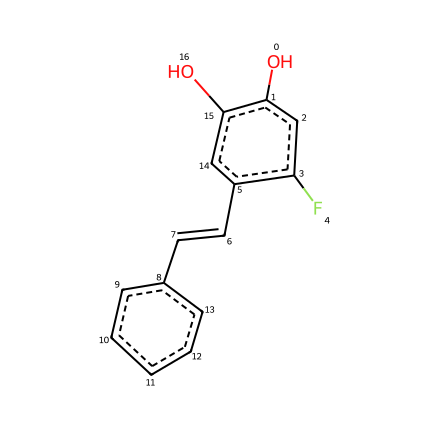 Oc1cc(F)c(C=Cc2ccccc2)cc1O